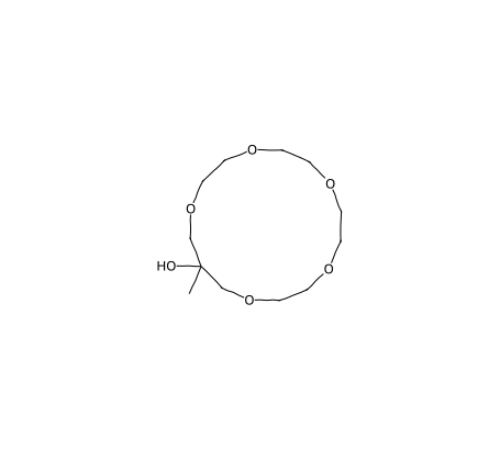 CC1(O)COCCOCCOCCOCCOC1